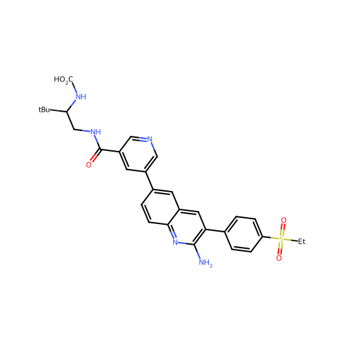 CCS(=O)(=O)c1ccc(-c2cc3cc(-c4cncc(C(=O)NCC(NC(=O)O)C(C)(C)C)c4)ccc3nc2N)cc1